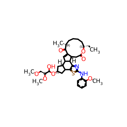 CC[C@H]1CCCC[C@@H](C)C(=O)C2=CC3C(c4nc(Nc5ccccc5OC)sc4C4C[C@@H](OC(O)[C@H](COC)OC)C[C@H]43)[C@@H]2CC(=O)O1